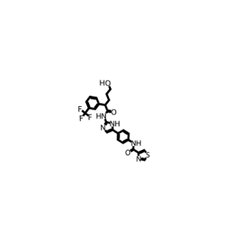 O=C(Nc1ccc(-c2cnc(NC(=O)C(CCCO)c3cccc(C(F)(F)F)c3)[nH]2)cc1)c1cscn1